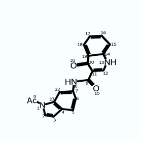 CC(=O)n1ccc2ccc(NC(=O)c3c[nH]c4ccccc4c3=O)cc21